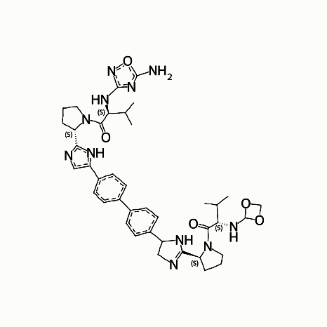 CC(C)[C@H](NC1OCO1)C(=O)N1CCC[C@H]1C1=NCC(c2ccc(-c3ccc(-c4cnc([C@@H]5CCCN5C(=O)[C@@H](Nc5noc(N)n5)C(C)C)[nH]4)cc3)cc2)N1